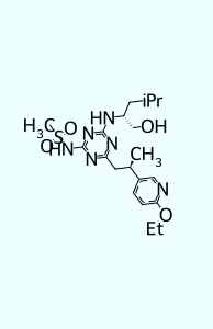 CCOc1ccc([C@H](C)Cc2nc(N[C@@H](CO)CC(C)C)nc(NS(C)(=O)=O)n2)cn1